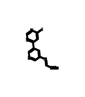 COC=Nc1cncc(-c2cc(I)ncn2)c1